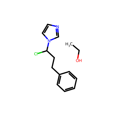 CCO.ClC(CCc1ccccc1)n1ccnc1